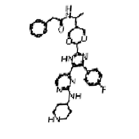 CC(NC(=O)Cc1ccccc1)C1COC(c2nc(-c3ccc(F)cc3)c(-c3ccnc(NC4CCNCC4)n3)[nH]2)OC1